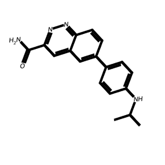 CC(C)Nc1ccc(-c2ccc3nnc(C(N)=O)cc3c2)cc1